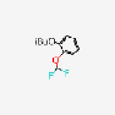 CC(C)COc1ccccc1OC(F)F